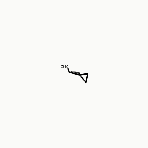 O=[C]C=C1CC1